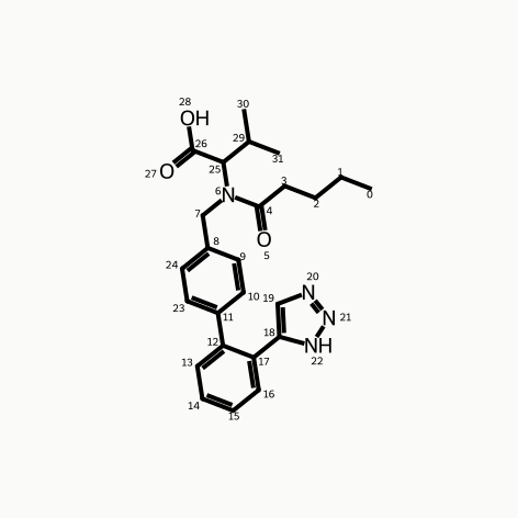 CCCCC(=O)N(Cc1ccc(-c2ccccc2-c2cnn[nH]2)cc1)C(C(=O)O)C(C)C